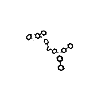 c1ccc(-c2ccc(N(c3ccc(-c4ccccc4)cc3)c3ccc(-c4ccc(-c5ccc(-n6c7ccccc7c7cc8c(cc76)Oc6ccccc6O8)cc5)o4)cc3)cc2)cc1